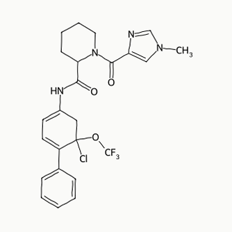 Cn1cnc(C(=O)N2CCCCC2C(=O)NC2=CC=C(c3ccccc3)C(Cl)(OC(F)(F)F)C2)c1